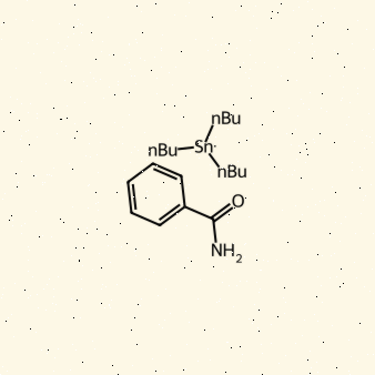 CCC[CH2][Sn]([CH2]CCC)[CH2]CCC.NC(=O)c1ccccc1